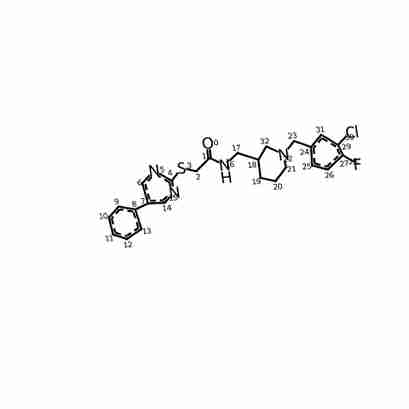 O=C(CSc1ncc(-c2ccccc2)cn1)NCC1CCCN(Cc2ccc(F)c(Cl)c2)C1